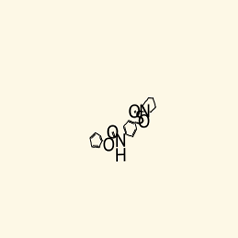 O=C(Nc1ccc(S(=O)(=O)N2CCCCC2)cc1)Oc1ccccc1